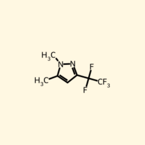 Cc1cc(C(F)(F)C(F)(F)F)nn1C